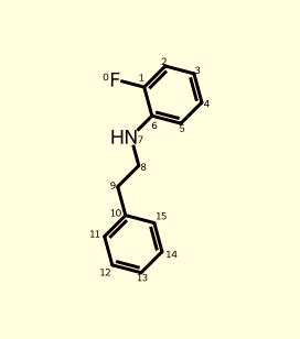 Fc1ccccc1NCCc1ccccc1